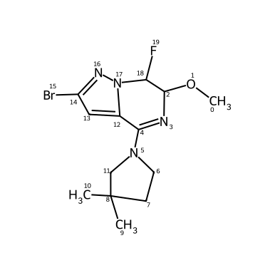 COC1N=C(N2CCC(C)(C)C2)c2cc(Br)nn2C1F